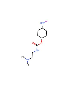 CCN(CC)CCNC(=O)O[C@H]1CC[C@H](NI)CC1